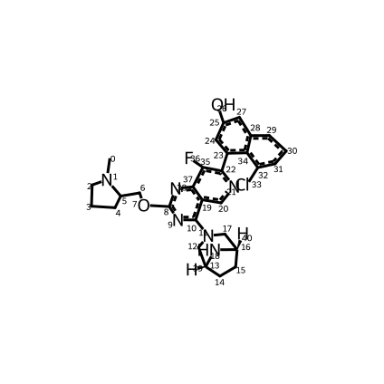 CN1CCCC1COc1nc(N2C[C@H]3CC[C@@H](C2)N3)c2cnc(-c3cc(O)cc4cccc(Cl)c34)c(F)c2n1